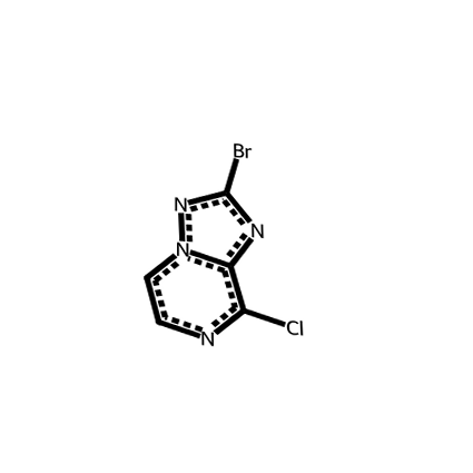 Clc1nccn2nc(Br)nc12